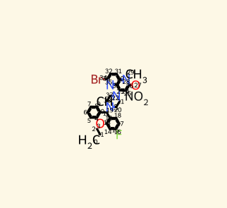 C=CCOc1cccc(C)c1C(c1ccc(F)cc1)N1CCN(c2c([N+](=O)[O-])c(=O)n(C)c3ccc(Br)nc23)CC1